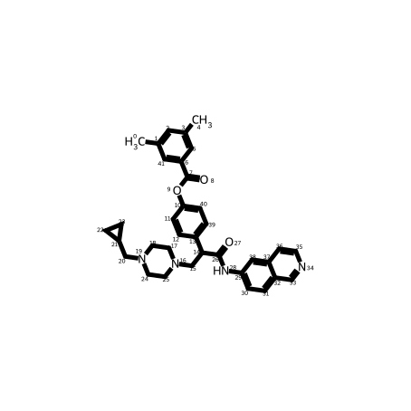 Cc1cc(C)cc(C(=O)Oc2ccc(C(CN3CCN(CC4CC4)CC3)C(=O)Nc3ccc4cnccc4c3)cc2)c1